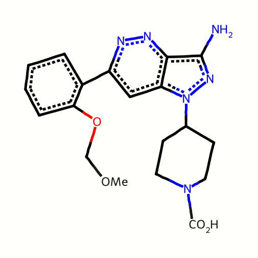 COCOc1ccccc1-c1cc2c(nn1)c(N)nn2C1CCN(C(=O)O)CC1